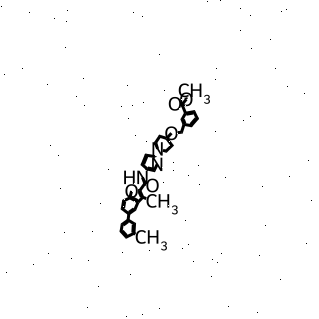 COC(=O)c1cccc(COC2CCN(c3ccc(NC(=O)c4oc5ccc(-c6cccc(C)c6)cc5c4C)cn3)CC2)c1